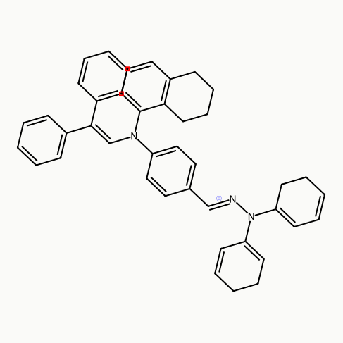 C1=CCCC(N(/N=C/c2ccc(N(C=C(c3ccccc3)c3ccccc3)c3cccc4c3CCCC4)cc2)C2=CCCC=C2)=C1